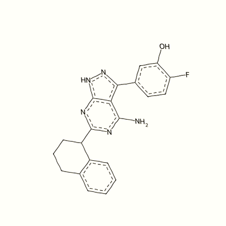 Nc1nc(C2CCCc3ccccc32)nc2[nH]nc(-c3ccc(F)c(O)c3)c12